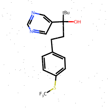 CC(C)(C)C(O)(CCc1ccc(SC(F)(F)F)cc1)c1cncnc1